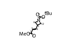 COC(=O)/C=C/C1CN(C(=O)OC(C)(C)C)C1